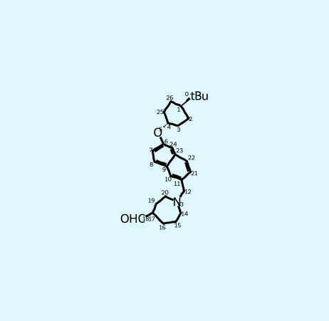 CC(C)(C)[C@H]1CC[C@H](Oc2ccc3cc(CN4CCCC(C=O)CC4)ccc3c2)CC1